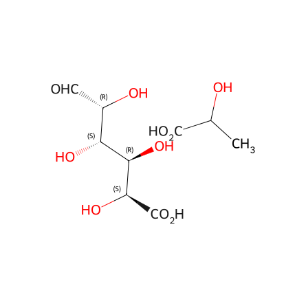 CC(O)C(=O)O.O=C[C@H](O)[C@@H](O)[C@@H](O)[C@H](O)C(=O)O